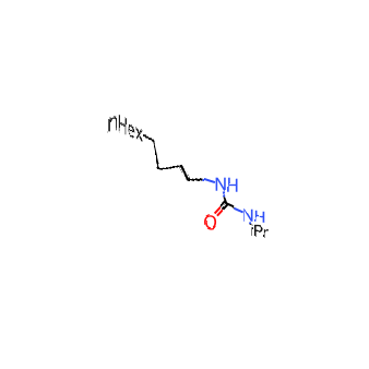 CCCCCCCCCCNC(=O)NC(C)C